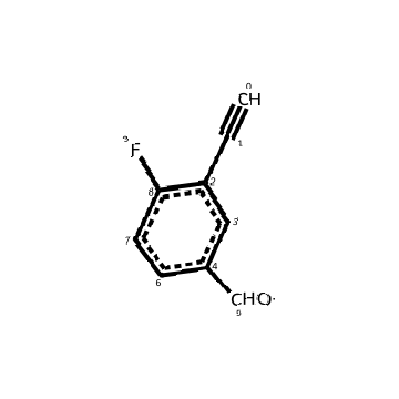 C#Cc1cc([C]=O)ccc1F